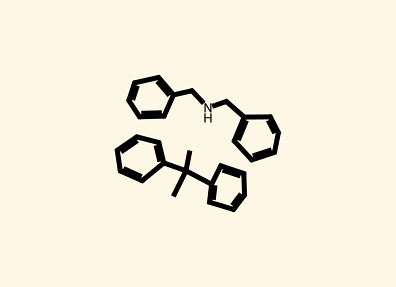 CC(C)(c1ccccc1)c1ccccc1.c1ccc(CNCc2ccccc2)cc1